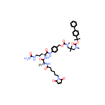 CC(C)[C@H](NC(=O)CCCCCN1C(=O)C=CC1=O)C(=O)N[C@@H](CCCNC(N)=O)C(=O)Nc1ccc(COC(=O)N(C)CC(C)(C)CN(C)C(=O)OC(C)(C)c2ccc(-c3ccccc3)cc2)cc1